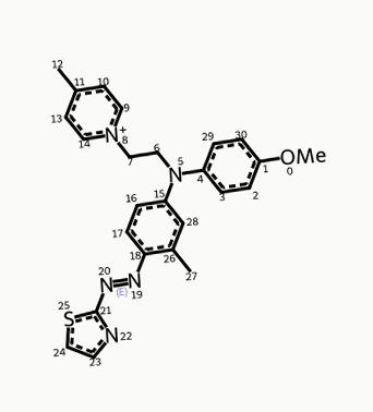 COc1ccc(N(CC[n+]2ccc(C)cc2)c2ccc(/N=N/c3nccs3)c(C)c2)cc1